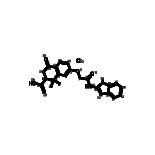 C[N+]1(C)c2cc(OCC(=O)Nc3nc4ccccc4s3)ccc2C(=O)CC1C(=O)O.[Cl-]